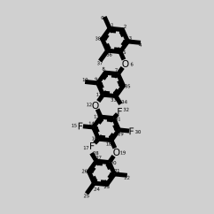 Cc1cc(C)c(Oc2cc(C)c(Oc3c(F)c(F)c(Oc4c(C)cc(C)cc4C)c(F)c3F)c(C)c2)c(C)c1